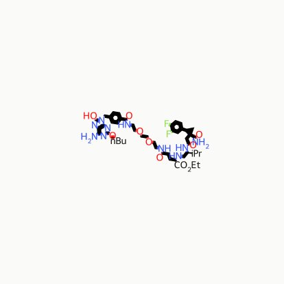 CCCCOc1nc(N)c2nc(O)n(Cc3ccc(C(=O)NCCOCCOCCNC(=O)CC[C@@H](NC[C@@H](NC(=O)CC4(C(N)=O)CC4c4ccc(F)c(F)c4)C(C)C)C(=O)OCC)cc3)c2n1